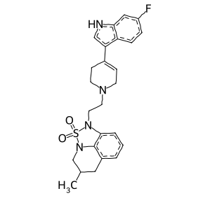 CC1Cc2cccc3c2N(C1)S(=O)(=O)N3CCN1CC=C(c2c[nH]c3cc(F)ccc23)CC1